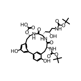 CC(C)(C)OC(=O)NC[C@H](O)C[C@@H]1NC(=O)[C@@H](NC(=O)OC(C)(C)C)Cc2cc(ccc2O)-c2cc(O)cc(c2)C[C@H](OC(=O)O)NC1=O